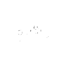 O=C(O)CCCn1ccc(C=C2CN(C(C(=O)C3CC3)c3ccccc3F)CCC2S)n1